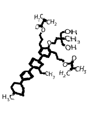 C=C(C)C(=O)OCCCc1cc(-c2ccc(-c3ccc(C4CCC(C)CC4)cc3)c(CC)c2)cc(CCCOC(=O)C(=C)C)c1OCCC(C)(CO)CO